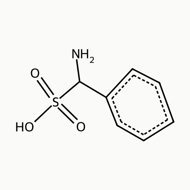 NC(c1ccccc1)S(=O)(=O)O